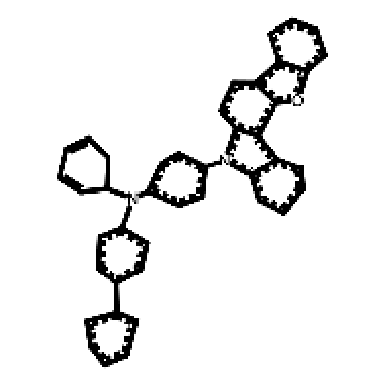 C1=CCC(N(c2ccc(-c3ccccc3)cc2)c2ccc(-n3c4ccccc4c4c5oc6ccccc6c5ccc43)cc2)C=C1